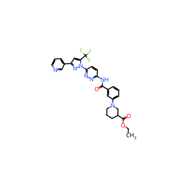 CCOC(=O)C1CCCN(c2cccc(C(=O)Nc3ccc(-n4nc(-c5cccnc5)cc4C(F)(F)F)nn3)c2)C1